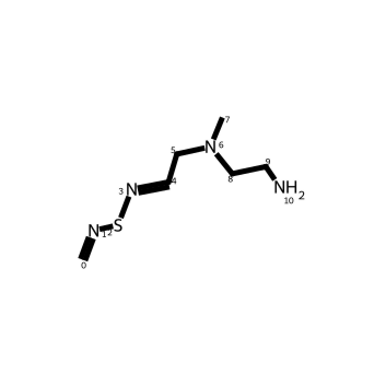 C=NS/N=C/CN(C)CCN